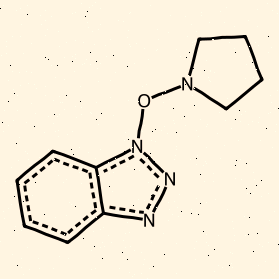 c1ccc2c(c1)nnn2ON1CCCC1